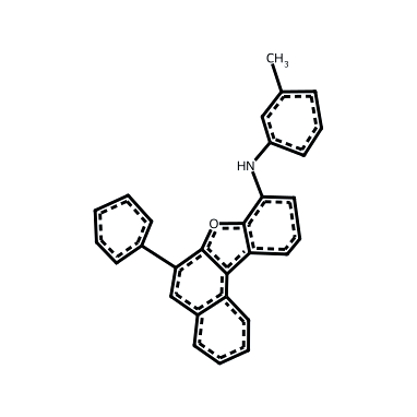 Cc1cccc(Nc2cccc3c2oc2c(-c4ccccc4)cc4ccccc4c23)c1